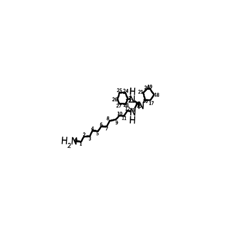 NCCCCCCCCCCCCNC(=NC1CCCCC1)NC1CCCCC1